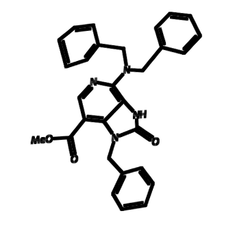 COC(=O)c1cnc(N(Cc2ccccc2)Cc2ccccc2)c2[nH]c(=O)n(Cc3ccccc3)c12